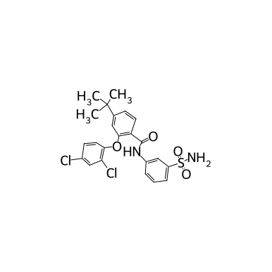 CC(C)(C)c1ccc(C(=O)Nc2cccc(S(N)(=O)=O)c2)c(Oc2ccc(Cl)cc2Cl)c1